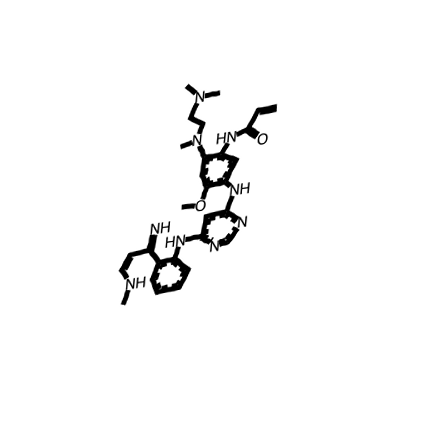 C=CC(=O)Nc1cc(Nc2cc(Nc3ccccc3C(=N)/C=C\NC)ncn2)c(OC)cc1N(C)CCN(C)C